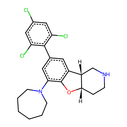 Clc1cc(Cl)c(-c2cc3c(c(N4CCCCCC4)c2)O[C@H]2CCNC[C@@H]32)c(Cl)c1